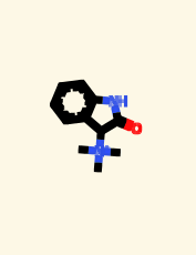 C[N+](C)(C)C1C(=O)Nc2ccccc21